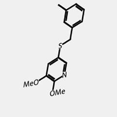 COc1cc(SCc2cccc(C)c2)cnc1OC